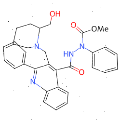 COC(=O)N(NC(=O)c1c(CN2CCCCC2CO)c(-c2ccccc2)nc2ccccc12)c1ccccc1